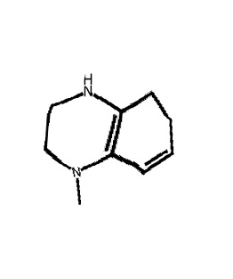 CN1CCNC2=C1C=CCC2